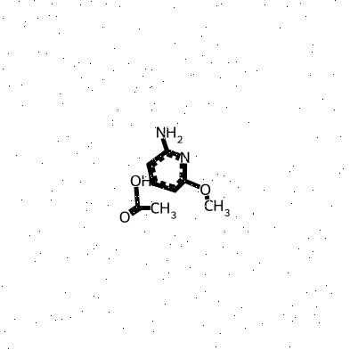 CC(=O)O.COc1cccc(N)n1